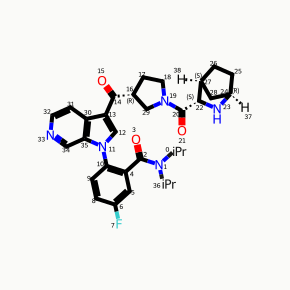 CC(C)N(C(=O)c1cc(F)ccc1-n1cc(C(=O)[C@@H]2CCN(C(=O)[C@H]3N[C@@H]4CC[C@H]3C4)C2)c2ccncc21)C(C)C